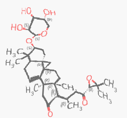 C[C@H](CC(=O)[C@@H]1OC1(C)C)[C@H]1C(=O)C[C@@]2(C)C3=CCC4C(C)(C)[C@@H](O[C@@H]5OC[C@@H](O)C(O)[C@@H]5O)CC[C@@]45C[C@@]35CC[C@]12C